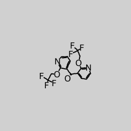 O=C(c1cccnc1OCC(F)(F)F)c1cccnc1OCC(F)(F)F